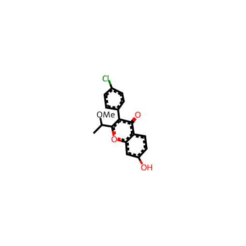 COC(C)c1oc2cc(O)ccc2c(=O)c1-c1ccc(Cl)cc1